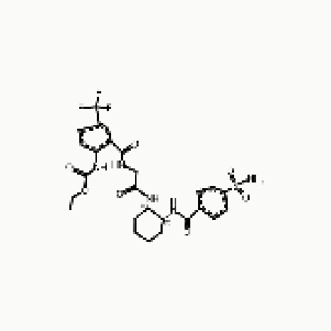 CCOC(=O)Nc1ccc(C(F)(F)F)cc1C(=O)NCC(=O)N[C@H]1CCCC[C@H]1NC(=O)c1ccc(S(N)(=O)=O)cc1